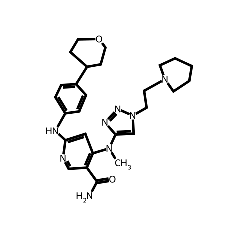 CN(c1cn(CCN2CCCCC2)nn1)c1cc(Nc2ccc(C3CCOCC3)cc2)ncc1C(N)=O